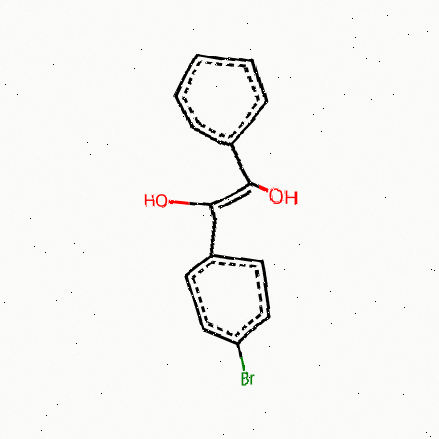 OC(=C(O)c1ccc(Br)cc1)c1ccccc1